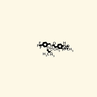 CC(C)COc1cc(C(F)(F)F)ccc1CNC(=O)[C@H](C)c1ccc(NS(C)(=O)=O)c(F)c1